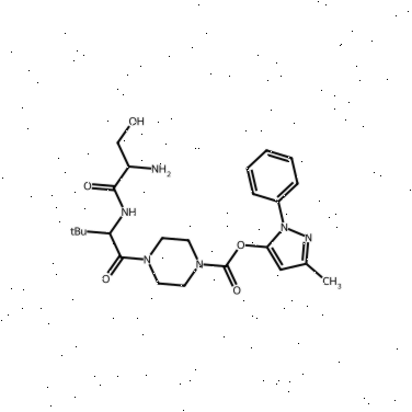 Cc1cc(OC(=O)N2CCN(C(=O)C(NC(=O)C(N)CO)C(C)(C)C)CC2)n(-c2ccccc2)n1